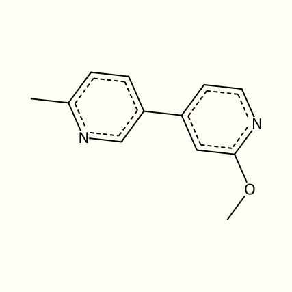 COc1cc(-c2ccc(C)nc2)ccn1